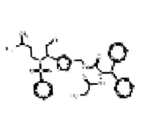 COC(=O)N[C@H](C(=O)NCc1csc(C(CO)N(CCC(C)C)S(=O)(=O)c2ccccc2)c1)C(c1ccccc1)c1ccccc1